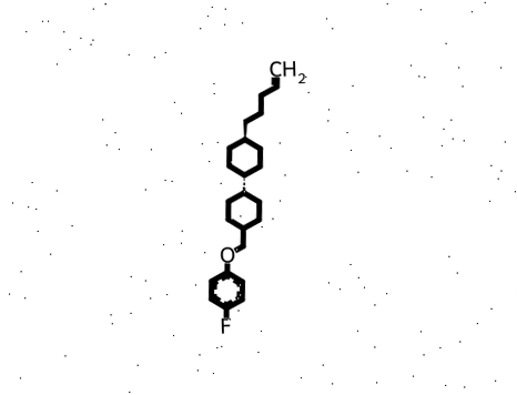 C=CCCC[C@H]1CC[C@H](C2CCC(COc3ccc(F)cc3)CC2)CC1